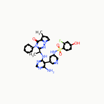 Cc1ccn2nc(C(C)Nc3ncnc(N)c3-c3cncc(NS(=O)(=O)c4ccc(O)cc4F)c3)n(-c3ccccc3)c(=O)c12